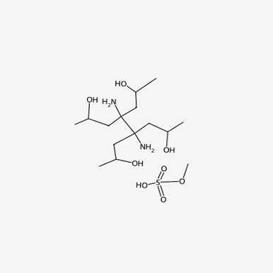 CC(O)CC(N)(CC(C)O)C(N)(CC(C)O)CC(C)O.COS(=O)(=O)O